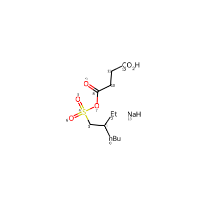 CCCCC(CC)CS(=O)(=O)OC(=O)CCC(=O)O.[NaH]